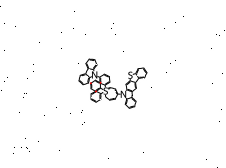 C1=CC(n2c3ccccc3c3cc4c(cc32)sc2ccccc24)=CC=S(c2ccccc2)(c2ccccc2)(c2cccc(-n3c4ccccc4c4ccccc43)c2)C1